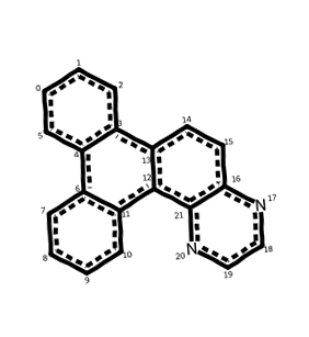 c1ccc2c(c1)c1ccccc1c1c2ccc2nccnc21